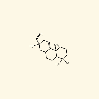 C=CC1(C)CC=C2C(CCC3C(C)(C(C)=O)CCCC23C)C1